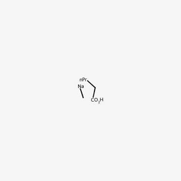 CCCCC(=O)O.[CH3][Na]